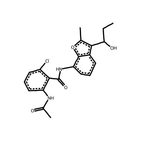 CCC(O)c1c(C)oc2c(NC(=O)c3c(Cl)cccc3NC(C)=O)cccc12